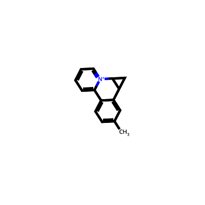 Cc1ccc2c(c1)C1CC1[n+]1ccccc1-2